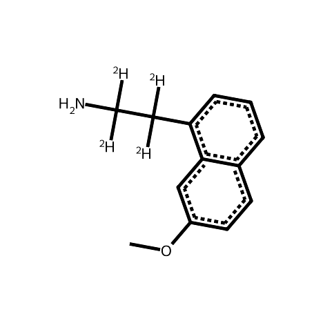 [2H]C([2H])(N)C([2H])([2H])c1cccc2ccc(OC)cc12